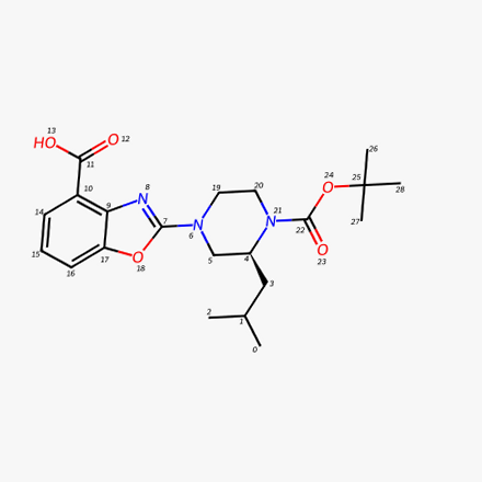 CC(C)C[C@H]1CN(c2nc3c(C(=O)O)cccc3o2)CCN1C(=O)OC(C)(C)C